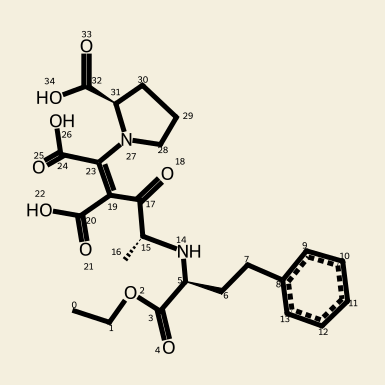 CCOC(=O)[C@H](CCc1ccccc1)N[C@H](C)C(=O)/C(C(=O)O)=C(/C(=O)O)N1CCC[C@@H]1C(=O)O